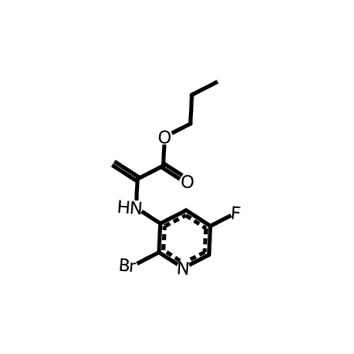 C=C(Nc1cc(F)cnc1Br)C(=O)OCCC